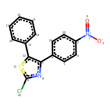 O=[N+]([O-])c1ccc(-c2nc(Cl)sc2-c2ccccc2)cc1